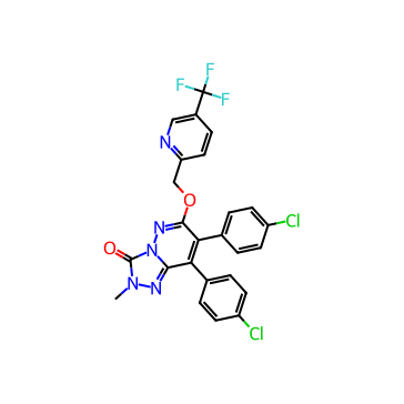 Cn1nc2c(-c3ccc(Cl)cc3)c(-c3ccc(Cl)cc3)c(OCc3ccc(C(F)(F)F)cn3)nn2c1=O